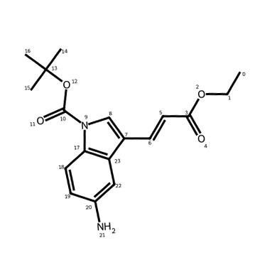 CCOC(=O)C=Cc1cn(C(=O)OC(C)(C)C)c2ccc(N)cc12